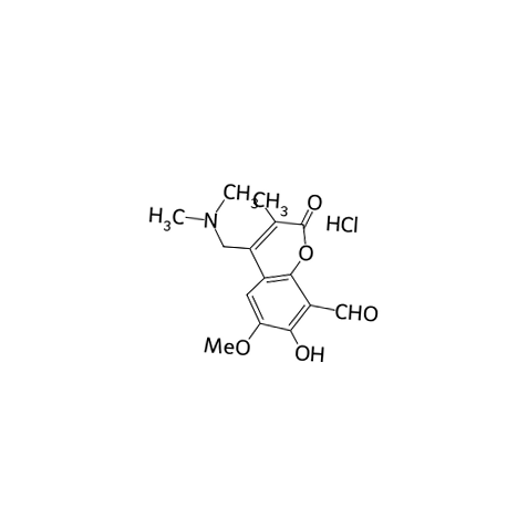 COc1cc2c(CN(C)C)c(C)c(=O)oc2c(C=O)c1O.Cl